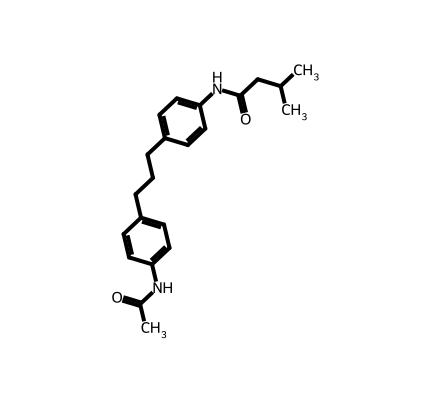 CC(=O)Nc1ccc(CCCc2ccc(NC(=O)CC(C)C)cc2)cc1